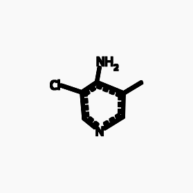 Cc1cncc(Cl)c1N